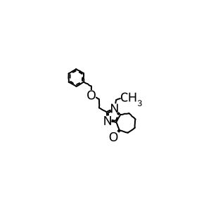 CCn1c(CCOCc2ccccc2)nc2c1CCCCC2=O